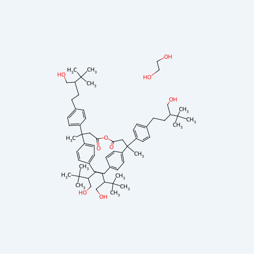 CC(CC(=O)OC(=O)CC(C)(c1ccc(CCC(CO)C(C)(C)C)cc1)c1ccc(CCC(CO)C(C)(C)C)cc1)(c1ccc(CCC(CO)C(C)(C)C)cc1)c1ccc(CCC(CO)C(C)(C)C)cc1.OCCO